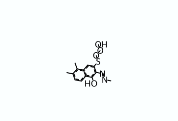 CN=Nc1c(SOOO)cc2c(C)c(C)ccc2c1O